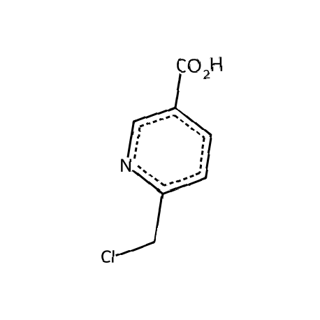 O=C(O)c1ccc(CCl)nc1